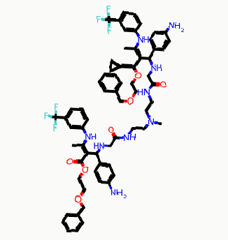 C/C(Nc1cccc(C(F)(F)F)c1)=C(\C(=O)OCCOCc1ccccc1)C(NCC(=O)NCCN(C)CCNC(=O)CNC(/C(C(OCCOCc1ccccc1)=C1CC1)=C(/C)Nc1cccc(C(F)(F)F)c1)c1ccc(N)cc1)c1ccc(N)cc1